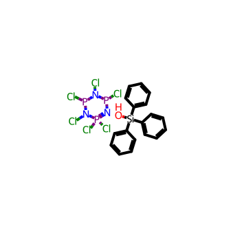 ClN1P(Cl)N=P(Cl)(Cl)N(Cl)P1Cl.O[Si](c1ccccc1)(c1ccccc1)c1ccccc1